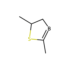 CC1=BCC(C)S1